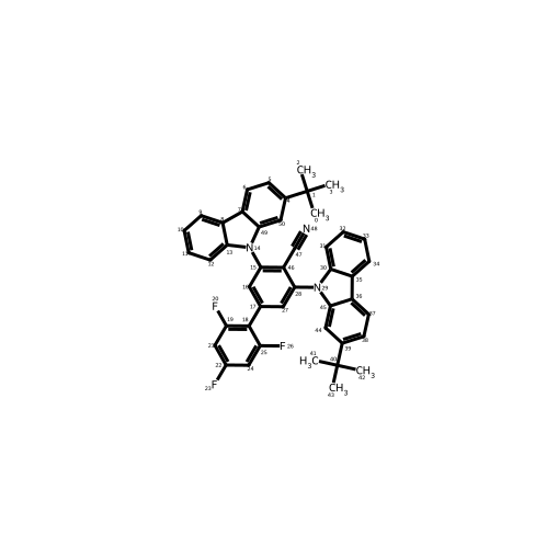 CC(C)(C)c1ccc2c3ccccc3n(-c3cc(-c4c(F)cc(F)cc4F)cc(-n4c5ccccc5c5ccc(C(C)(C)C)cc54)c3C#N)c2c1